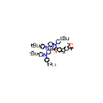 CC(C)(C)c1ccc(N(c2ccc(C(C)(C)C)cc2)c2ccc3c(c2)N(c2ccc(C(C)(C)C)cc2)c2cccc4c2B3c2sc3cc5c(cc3c2N4c2ccc(C(C)(C)C)cc2)-c2cc3c(cc2C5(C)C)C(C)(C)OC3(C)C)cc1